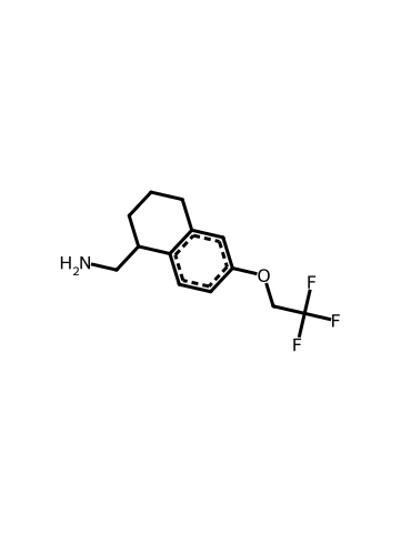 NCC1CCCc2cc(OCC(F)(F)F)ccc21